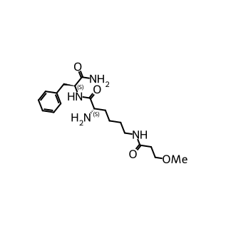 COCCC(=O)NCCCC[C@H](N)C(=O)N[C@@H](Cc1ccccc1)C(N)=O